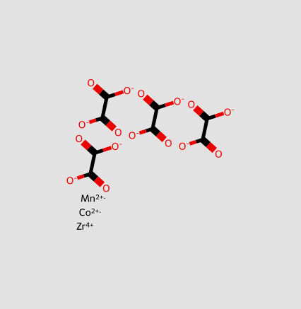 O=C([O-])C(=O)[O-].O=C([O-])C(=O)[O-].O=C([O-])C(=O)[O-].O=C([O-])C(=O)[O-].[Co+2].[Mn+2].[Zr+4]